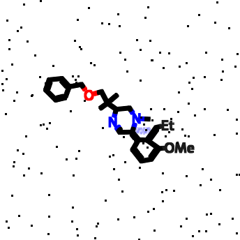 CC/C=c1\c(OC)ccc\c1=C1/C=NC(C(C)(C)COCc2ccccc2)CN1C